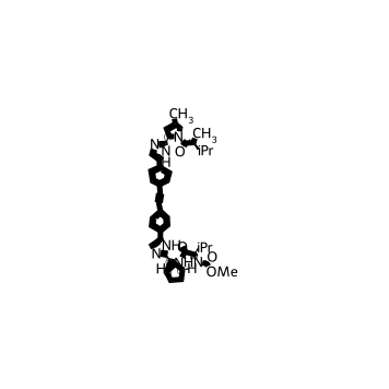 COC(=O)N[C@H](C(=O)N1[C@H]2CC[C@H](C2)[C@H]1c1ncc(-c2ccc(C#Cc3ccc(-c4cnc([C@@H]5C=C(C)CN5C(=O)[C@@H](C)C(C)C)[nH]4)cc3)cc2)[nH]1)C(C)C